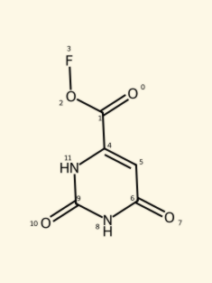 O=C(OF)c1cc(=O)[nH]c(=O)[nH]1